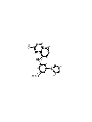 COc1cc(Nc2ccnc3ccc(Cl)cc23)cc(-n2cccn2)c1